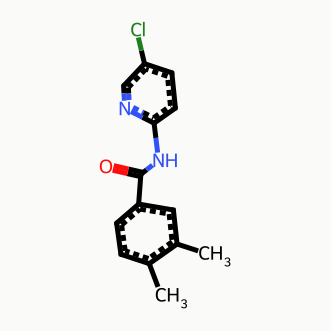 Cc1ccc(C(=O)Nc2ccc(Cl)cn2)cc1C